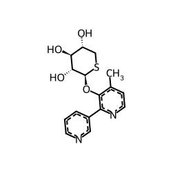 Cc1ccnc(-c2cccnc2)c1O[C@@H]1SC[C@@H](O)[C@H](O)[C@H]1O